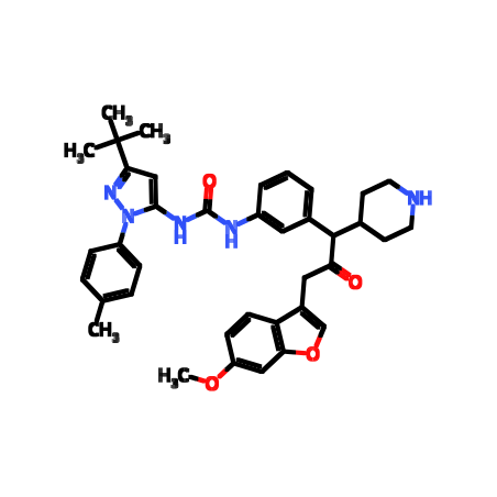 COc1ccc2c(CC(=O)C(c3cccc(NC(=O)Nc4cc(C(C)(C)C)nn4-c4ccc(C)cc4)c3)C3CCNCC3)coc2c1